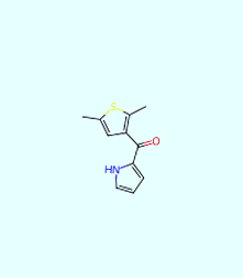 Cc1cc(C(=O)c2ccc[nH]2)c(C)s1